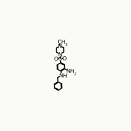 CN1CCN(S(=O)(=O)c2ccc(NCc3ccccc3)c(N)c2)CC1